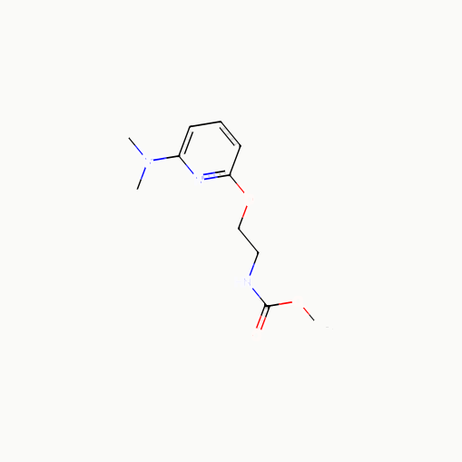 CN(C)c1cccc(OCCNC(=O)OC(C)(C)C)n1